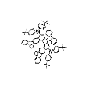 CC(C)(C)c1ccc(N(c2ccc(C(C)(C)C)cc2)c2cc3c(c4cc5oc6ccccc6c5cc24)-c2c(cc(N(c4ccc(C(C)(C)C)cc4)c4ccc(C(C)(C)C)cc4)c4cc5c(cc24)oc2ccccc25)C32c3ccccc3-c3ccccc32)cc1